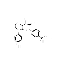 CC(=O)OC(C(=O)Nc1ccc(C(=N)N)cc1)C1SCCN(c2ccc(C)cc2)C1=O